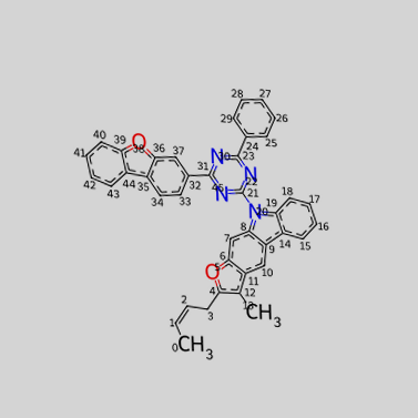 C/C=C\Cc1oc2cc3c(cc2c1C)c1ccccc1n3-c1nc(-c2ccccc2)nc(-c2ccc3c(c2)oc2ccccc23)n1